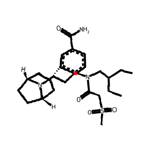 CCC(CC)CN(CCCN1[C@@H]2CC[C@H]1C[C@@H](c1cccc(C(N)=O)c1)C2)C(=O)CS(C)(=O)=O